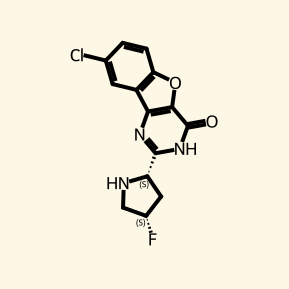 O=c1[nH]c([C@@H]2C[C@H](F)CN2)nc2c1oc1ccc(Cl)cc12